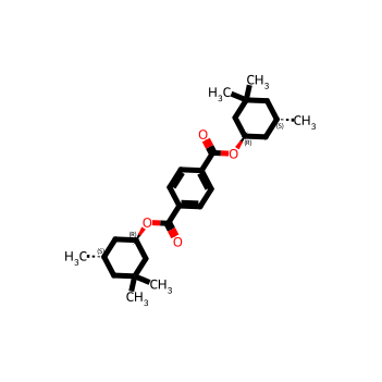 C[C@@H]1C[C@@H](OC(=O)c2ccc(C(=O)O[C@@H]3C[C@@H](C)CC(C)(C)C3)cc2)CC(C)(C)C1